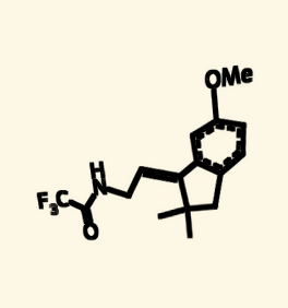 COc1ccc2c(c1)/C(=C/CNC(=O)C(F)(F)F)C(C)(C)C2